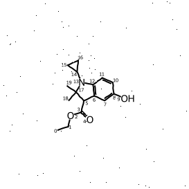 CCOC(=O)C1c2cc(O)ccc2N(C2CC2)C1(C)C